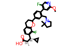 COc1cc(-c2ccc(C3CCc4ccc([C@H](C5CC5)[C@H](C)C(=O)O)c(F)c4O3)cc2CN2CCCC2(C)C)c(F)cn1